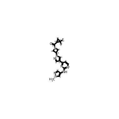 Cn1cc(Nc2nccc(-c3cnn(C4CN(C(=O)C5CC5(F)F)C4)c3)n2)cn1